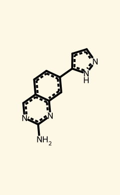 Nc1ncc2ccc(-c3ccn[nH]3)cc2n1